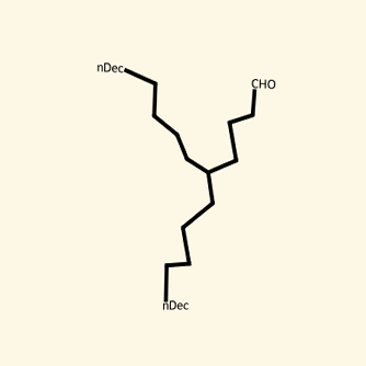 CCCCCCCCCCCCCCC(CCCC=O)CCCCCCCCCCCCCC